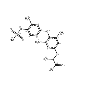 Cc1cc(Oc2c(C)cc(CC(N)C(=O)O)cc2C)ccc1OS(=O)(=O)O